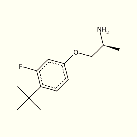 C[C@H](N)COc1ccc(C(C)(C)C)c(F)c1